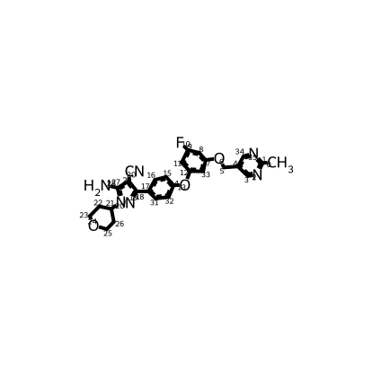 Cc1ncc(COc2cc(F)cc(Oc3ccc(-c4nn(C5CCOCC5)c(N)c4C#N)cc3)c2)cn1